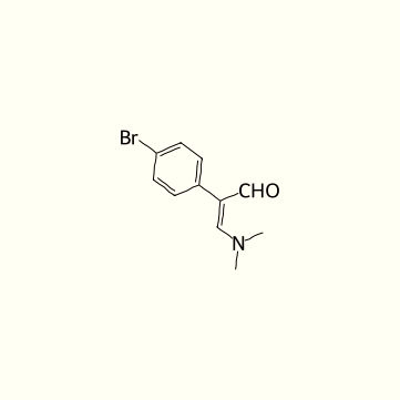 CN(C)/C=C(\C=O)c1ccc(Br)cc1